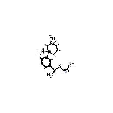 C=C(S/C=C\N)c1cccc(C2(N)CCCN(C)C2)c1